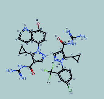 N=C(N)NC(=O)c1cnn(-c2ccc(Br)c3ncccc23)c1C1CC1.N=C(N)NC(=O)c1cnn(-c2ccc(Cl)cc2C(F)(F)F)c1C1CC1